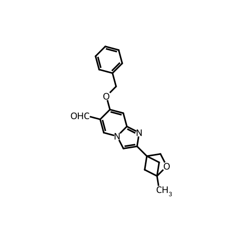 CC12CC(c3cn4cc(C=O)c(OCc5ccccc5)cc4n3)(CO1)C2